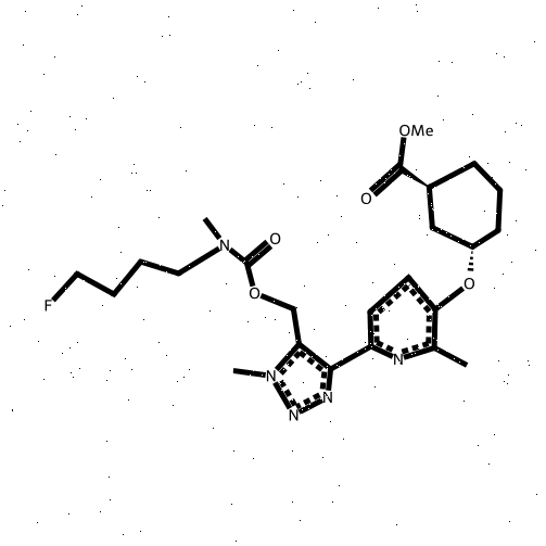 COC(=O)[C@H]1CCC[C@H](Oc2ccc(-c3nnn(C)c3COC(=O)N(C)CCCCF)nc2C)C1